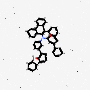 c1ccc(-c2cccc(N(c3cccc(-c4cccc5c4oc4ccccc45)c3)c3c(-c4ccccc4)c4ccccc4c4ccccc34)c2)cc1